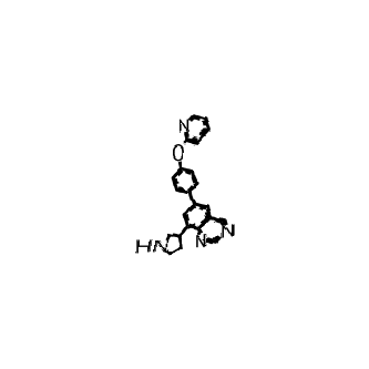 c1ccc(Oc2ccc(-c3cc(C4CCNC4)c4ncncc4c3)cc2)nc1